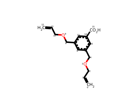 C=CCOCc1cc(COCC=C)cc(C(=O)O)c1